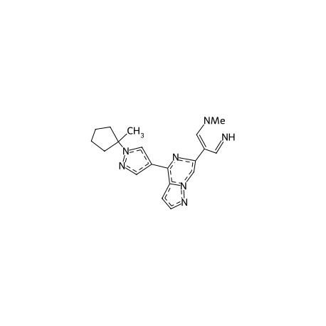 CN/C=C(\C=N)c1cn2nccc2c(-c2cnn(C3(C)CCCC3)c2)n1